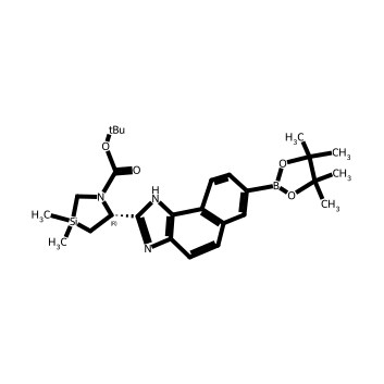 CC(C)(C)OC(=O)N1C[Si](C)(C)C[C@H]1c1nc2ccc3cc(B4OC(C)(C)C(C)(C)O4)ccc3c2[nH]1